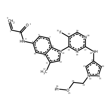 C=CC(=O)Nc1ccc2c(c1)c(C)cn2-c1nc(Nc2cnn(CCOC(C)C)c2)ncc1F